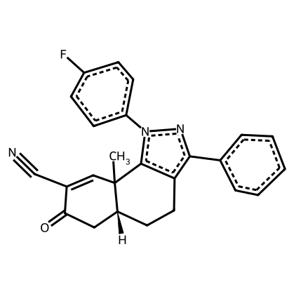 CC12C=C(C#N)C(=O)C[C@H]1CCc1c(-c3ccccc3)nn(-c3ccc(F)cc3)c12